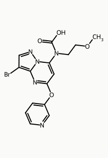 COCCN(C(=O)O)c1cc(Oc2cccnc2)nc2c(Br)cnn12